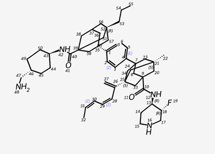 C=C(/C=C\C(=C/C)C12CC3(C(=O)N[C@@H]4CCNC[C@H]4F)C[C@](C)(C1)C[C@@](C(=C)/C=C\C=C/C)(C3)C2)[C@]12CC3CC(C(=O)N[C@H]4CC[C@H](CN)CC4)(C[C@](CCC)(C3)C1)C2